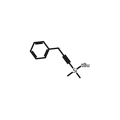 CC(C)(C)[Si](C)(C)C#C[CH]c1ccccc1